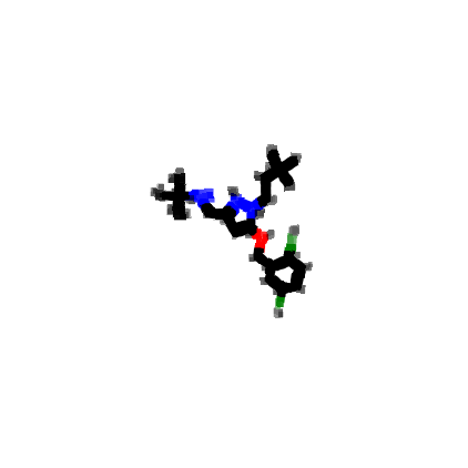 [2H]C([2H])([2H])NCc1cc(OCc2cc(F)ccc2F)n(CCC(C)(C)C)n1